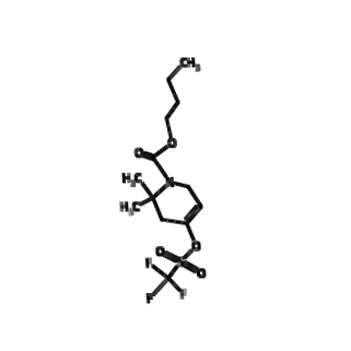 CCCCOC(=O)N1CC=C(OS(=O)(=O)C(F)(F)F)CC1(C)C